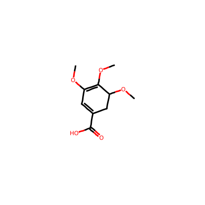 COC1=C(OC)C(OC)CC(C(=O)O)=C1